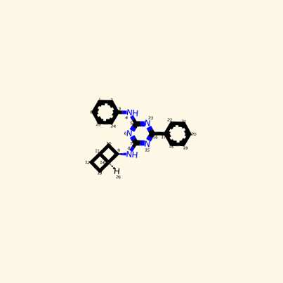 c1ccc(Nc2nc(N[C@@H]3CC4CC[C@@H]43)nc(-c3ccccc3)n2)cc1